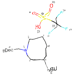 CCCCCCCCCCN1CCCC(CCCC)C1.O=S(=O)(O)C(F)(F)F